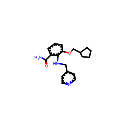 NC(=O)c1cccc(OCC2CCCC2)c1NCc1ccncc1